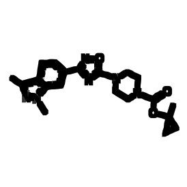 Cc1nn(C)c2cc(-c3noc(N4CCN(C(=O)OC5(C)CC5)CC4)n3)ccc12